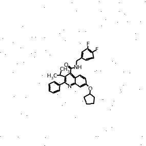 CC(C)c1c(-c2ccccc2)nc2cc(OC3CCCC3)ccc2c1C(=O)NCc1ccc(F)c(F)c1